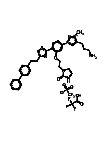 C[n+]1nn(-c2ccc(-c3nc(CCc4ccc(-c5ccccc5)cc4)cs3)c(OCCN3CCNC3=O)c2)cc1CCCN.O=C(O)C(F)(F)F.O=S(=O)([O-])C(F)(F)F